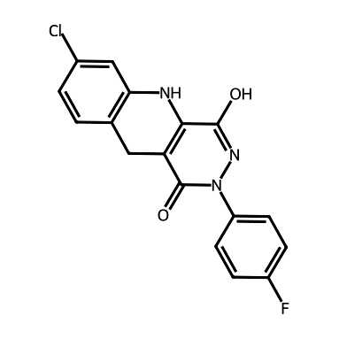 O=c1c2c(c(O)nn1-c1ccc(F)cc1)Nc1cc(Cl)ccc1C2